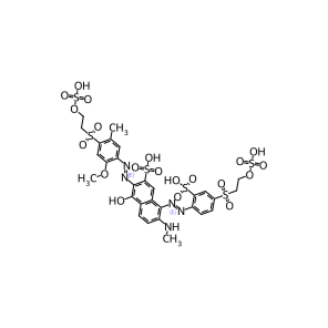 CNc1ccc2c(O)c(/N=N/c3cc(C)c(S(=O)(=O)CCOS(=O)(=O)O)cc3OC)c(S(=O)(=O)O)cc2c1/N=N/c1ccc(S(=O)(=O)CCOS(=O)(=O)O)cc1S(=O)(=O)O